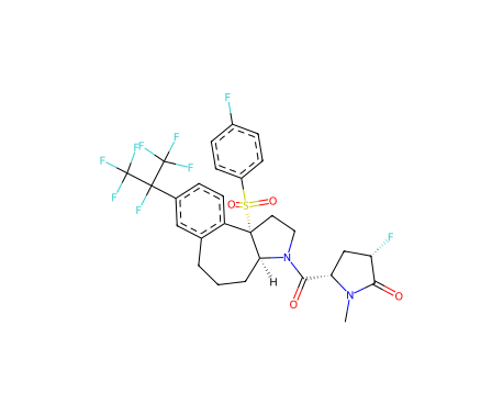 CN1C(=O)[C@@H](F)C[C@H]1C(=O)N1CC[C@]2(S(=O)(=O)c3ccc(F)cc3)c3ccc(C(F)(C(F)(F)F)C(F)(F)F)cc3CCC[C@H]12